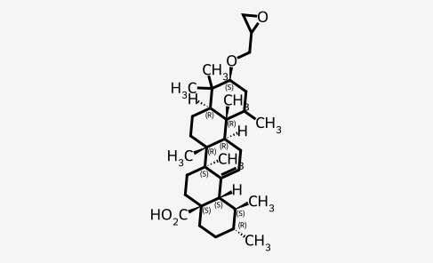 CC1C[C@H](OCC2CO2)C(C)(C)[C@@H]2CC[C@]3(C)[C@H](CC=C4[C@@H]5[C@@H](C)[C@H](C)CC[C@]5(C(=O)O)CC[C@]43C)[C@@]12C